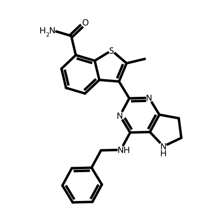 Cc1sc2c(C(N)=O)cccc2c1-c1nc2c(c(NCc3ccccc3)n1)NCC2